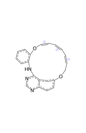 C1=C\C=C/Oc2ccccc2Nc2ncnc3ccc(cc23)OC\C=C/1